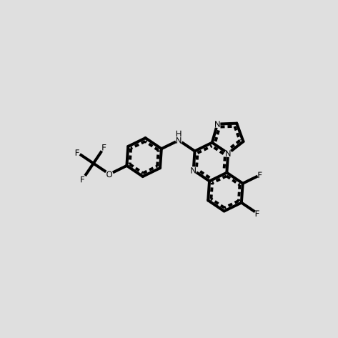 Fc1ccc2nc(Nc3ccc(OC(F)(F)F)cc3)c3nccn3c2c1F